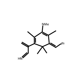 C=C(C=N)C1=C(C)C(NC)=C(C)/C(=C\C(C)C)C1(C)C